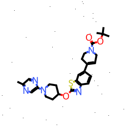 Cc1cnc(N2CCC(Oc3nc4ccc(C5=CCN(C(=O)OC(C)(C)C)CC5)cc4s3)CC2)cn1